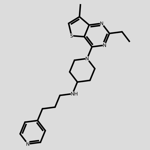 CCc1nc(N2CCC(NCCCc3ccncc3)CC2)c2scc(C)c2n1